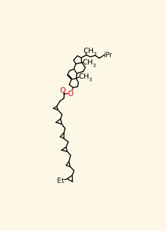 CCC1CC1CC1CC1CC1CC1CC1CC1CC1CC1CC1CC1CCC(=O)OC1CCC2(C)C(=CCC3C2CCC2(C)C(C(C)CCCC(C)C)CCC32)C1